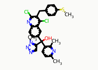 CSc1ccc(Cc2c(Cl)nc3ccc(C(O)(c4ccc(C)nc4C)c4cnnn4C)cc3c2Cl)cc1